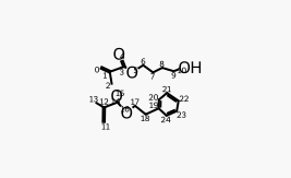 C=C(C)C(=O)OCCCCO.C=C(C)C(=O)OCCc1ccccc1